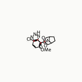 COc1ccc(Cl)cc1S(=O)(=O)N1C2CCC1CN(C(=O)c1cnn[nH]1)C2